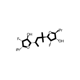 CC(C)[C@H]1O[C@@H](C(C)CC(C)(C)[C@H]2O[C@@H](C(C)C)[C@H](O)[C@@H]2F)[C@H](O)[C@H]1F